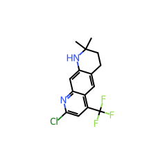 CC1(C)CCc2cc3c(C(F)(F)F)cc(Cl)nc3cc2N1